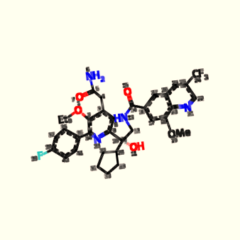 CCOc1c(CC(N)=O)cc([C@@](O)(CNC(=O)c2cc(OC)c3ncc(C(F)(F)F)cc3c2)C2CCCC2)nc1-c1ccc(F)cc1